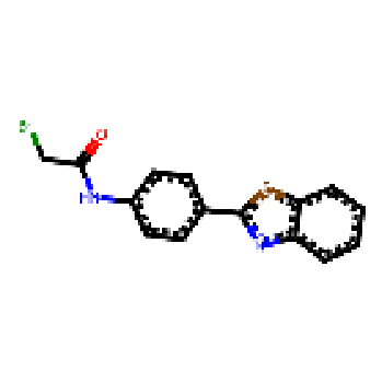 O=C(CBr)Nc1ccc(-c2nc3ccccc3s2)cc1